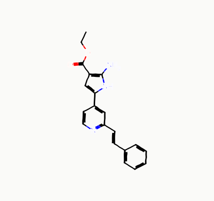 CCOC(=O)c1cc(-c2ccnc(/C=C/c3ccccc3)c2)[nH]c1N